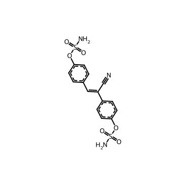 N#C/C(=C\c1ccc(OS(N)(=O)=O)cc1)c1ccc(OS(N)(=O)=O)cc1